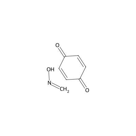 C=NO.O=C1C=CC(=O)C=C1